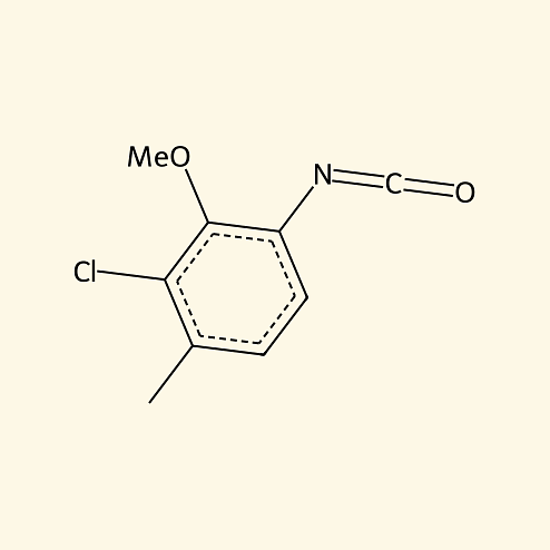 COc1c(N=C=O)ccc(C)c1Cl